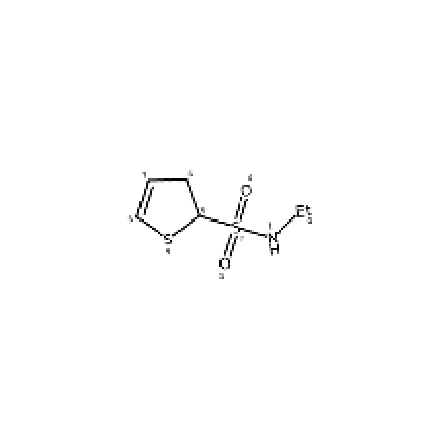 CCNS(=O)(=O)C1CC=CS1